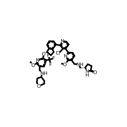 COc1nc(-c2ccnc(-c3cccc4c3CC[C@@H]4Oc3nc(OC)c(CNC4CCOCC4)cc3C(F)(F)F)c2Cl)ccc1CNC[C@@H]1CCC(=O)N1